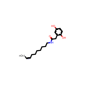 CCCCCCCC/C=C\CCCCCCCNC(=O)Cc1cc(O)ccc1O